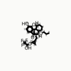 CCCOC12CCC[C@@H]3Oc4c(O)ccc5c4[C@@]31CC[N@+]([O-])(CC1CC1)[C@@H]2C5.O=C(O)C(F)(F)F